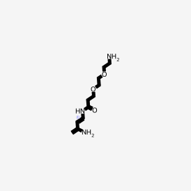 C=C(N)/C=C/NC(=O)CCOCCOCCN